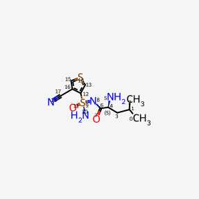 CC(C)C[C@H](N)C(=O)N=S(N)(=O)c1cscc1C#N